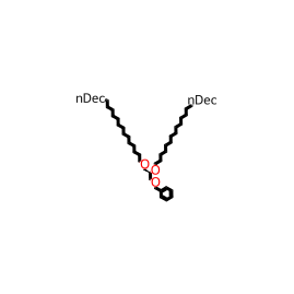 CCCCCCCCCCCCCCCCCCCCCCCCOC[C@H](COCc1ccccc1)OCCCCCCCCCCCCCCCCCCCCCCCC